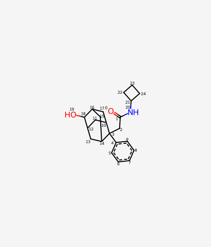 O=C(CC1(c2ccccc2)C2CC3CC1CC(C2)C3O)NC1CCC1